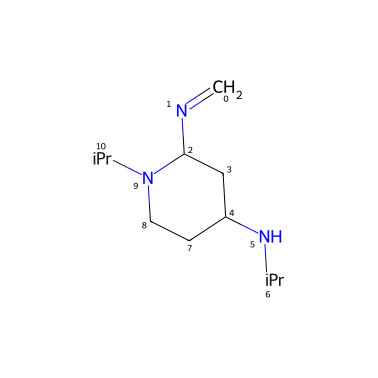 C=NC1CC(NC(C)C)CCN1C(C)C